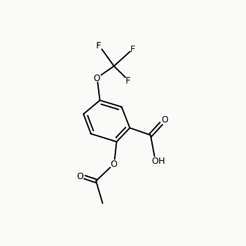 CC(=O)Oc1ccc(OC(F)(F)F)cc1C(=O)O